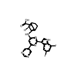 O=C(O)[C@@H]1C2CCC(CC2)C1Nc1cc(-c2cncnc2)nc(-c2c[nH]c3c(F)cc(F)cc23)n1